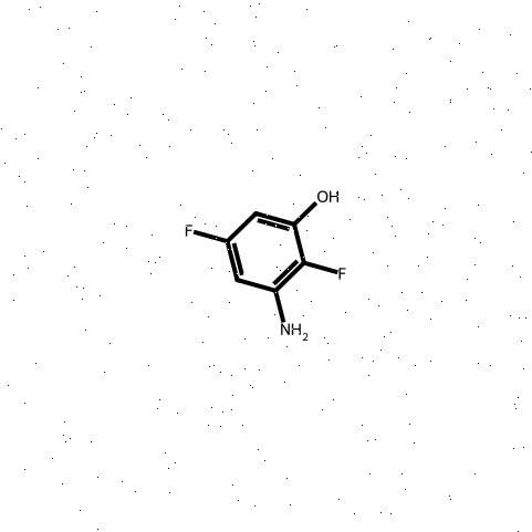 Nc1cc(F)cc(O)c1F